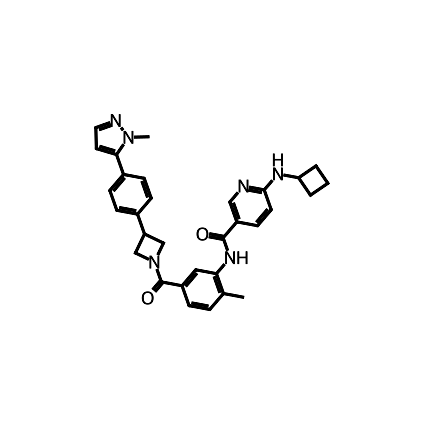 Cc1ccc(C(=O)N2CC(c3ccc(-c4ccnn4C)cc3)C2)cc1NC(=O)c1ccc(NC2CCC2)nc1